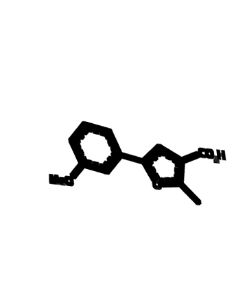 COc1cccc(-c2cc(C(=O)O)c(C)o2)c1